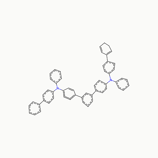 C1=C=C(N(c2ccccc2)c2ccc(-c3ccccc3)cc2)C=CC=1c1cccc(-c2ccc(N(c3ccccc3)c3ccc(C4=CCCC=C4)cc3)cc2)c1